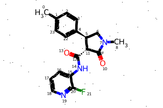 Cc1ccc([C@H]2CN(C)C(=O)[C@@H]2C(=O)Nc2cccnc2F)cc1